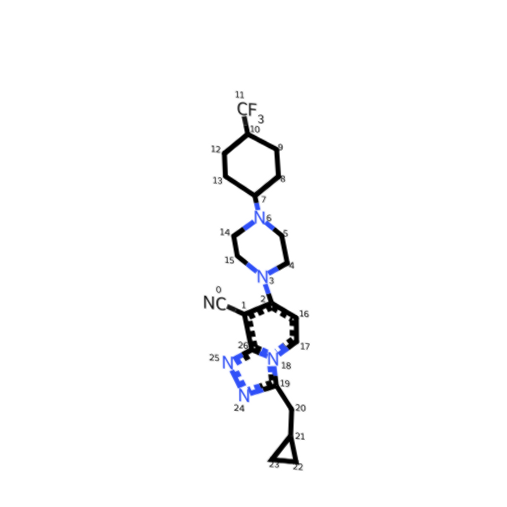 N#Cc1c(N2CCN(C3CCC(C(F)(F)F)CC3)CC2)ccn2c(CC3CC3)nnc12